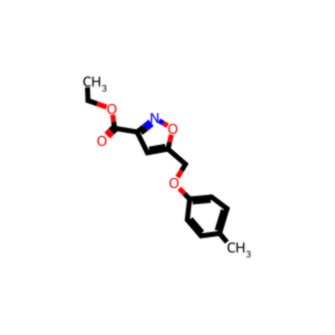 CCOC(=O)c1cc(COc2ccc(C)cc2)on1